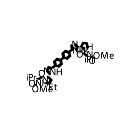 CCC1=C[C@@H](c2ncc(-c3ccc(-c4ccc(-c5cnc([C@@H]6CCCN6C(=O)[C@@H](NC(=O)OC)C(C)C)[nH]5)cc4)cc3)[nH]2)N(C(=O)[C@@H](NC(=O)OC)C(C)C)C1